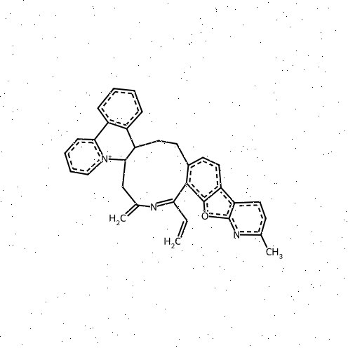 C=C/C1=N/C(=C)CC2C(CCc3ccc4c(oc5nc(C)ccc54)c31)c1ccccc1-c1cccc[n+]12